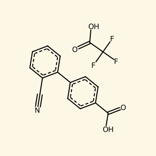 N#Cc1ccccc1-c1ccc(C(=O)O)cc1.O=C(O)C(F)(F)F